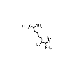 CCN=C(N)N(CC)CCCCC(N)C(=O)O